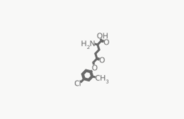 Cc1cc(Cl)ccc1OCC(=O)CCC(N)C(=O)O